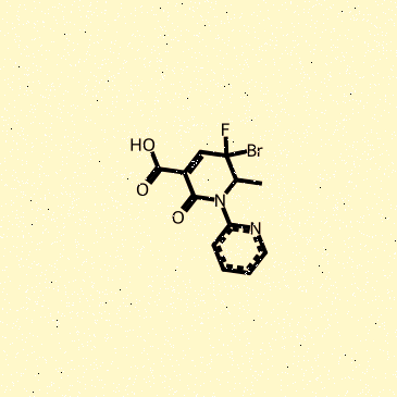 CC1N(c2ccccn2)C(=O)C(C(=O)O)=CC1(F)Br